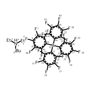 CCC(C)[NH+](CC)CC.Fc1c(F)c(F)c([B-](c2c(F)c(F)c(F)c(F)c2F)(c2c(F)c(F)c(F)c(F)c2F)c2c(F)c(F)c(F)c(F)c2F)c(F)c1F